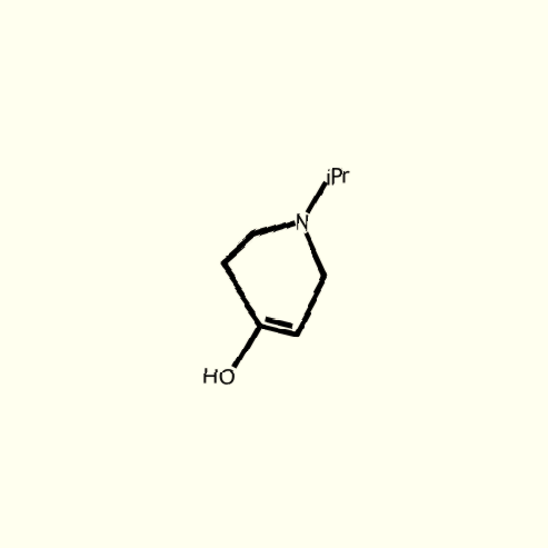 CC(C)N1CC=C(O)CC1